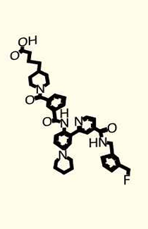 O=C(O)CCCC1CCN(C(=O)c2cccc(C(=O)Nc3ccc(N4CCCCC4)cc3-c3cc(C(=O)NCc4cccc(CF)c4)ccn3)c2)CC1